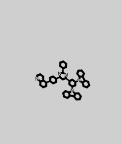 c1ccc(-c2nc(-c3ccc(-c4cccc5ncccc45)cc3)cc(-c3cc(-n4c5ccccc5c5ccccc54)cc(-n4c5ccccc5c5ccccc54)c3)n2)cc1